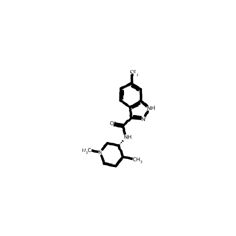 CC1CCN(C)C[C@@H]1NC(=O)c1n[nH]c2cc(C(F)(F)F)ccc12